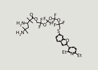 CCc1ccc(-c2cc3ccc(SCC(F)(F)OC(F)(F)OC(F)(F)OC(F)(F)COC(=O)C(C)(C)C(N)CC(C)(C)N)cc3o2)c(CC)n1